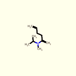 C=CCCC(=C)N(C)C(C)C